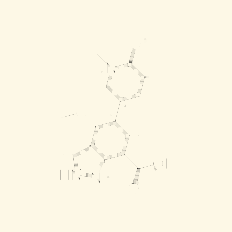 COc1c(-c2ccc(=O)n(C)c2)cc(C(=O)O)c2n[nH]cc12